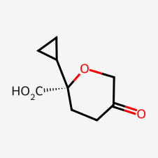 O=C1CC[C@@](C(=O)O)(C2CC2)OC1